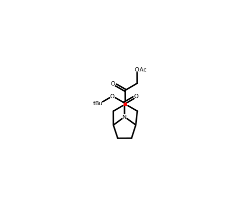 CC(=O)OCC(=O)N1CC2CCC(C1)N2C(=O)OC(C)(C)C